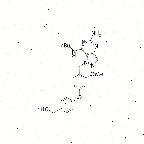 CCCCNc1nc(N)nc2cnn(Cc3ccc(Oc4ccc(CO)cc4)cc3OC)c12